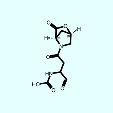 O=CC(CC(=O)N1C[C@H]2C[C@@H]1C(=O)O2)NC(=O)O